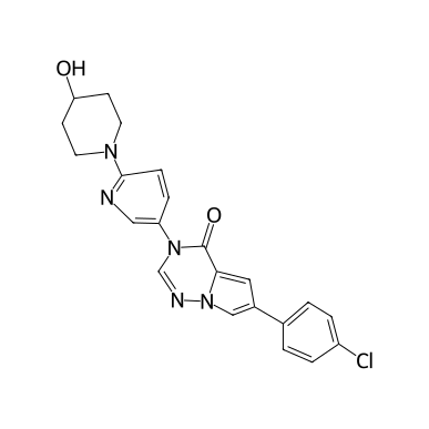 O=c1c2cc(-c3ccc(Cl)cc3)cn2ncn1-c1ccc(N2CCC(O)CC2)nc1